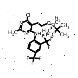 Cc1nc(Cl)c(CCO[Si](C)(C)C(C)(C)C)c(Nc2ccc(C(F)(F)F)cc2C(F)(F)F)n1